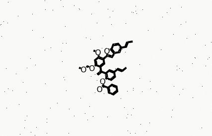 C=C(c1cc(-c2cc3cc(/C=C/C)ccc3o2)c(OC)cc1OCOC)c1cc(/C=C/C)ccc1OC(=O)c1ccccc1